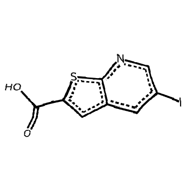 O=C(O)c1cc2cc(I)cnc2s1